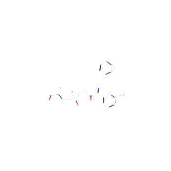 CC1S[C@@H]2C(NC(=O)C(=NOc3ccccc3)c3cccc(N)n3)C(=O)N2C=C1C(=O)O